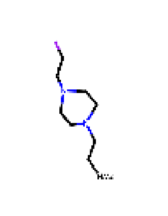 CNCCN1CCN(CCI)CC1